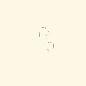 FC(F)(F)c1ccn(-c2ncccc2C(F)(F)F)n1